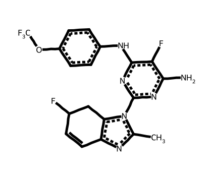 Cc1nc2c(n1-c1nc(N)c(F)c(Nc3ccc(OC(F)(F)F)cc3)n1)CC(F)C=C2